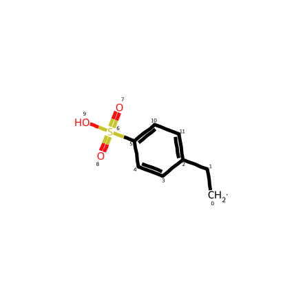 [CH2]Cc1ccc(S(=O)(=O)O)cc1